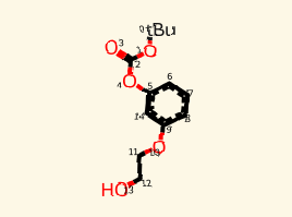 CC(C)(C)OC(=O)Oc1c[c]cc(OCCO)c1